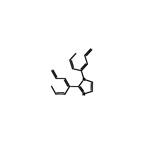 C=C/C=C(\C=C/C)c1nccn1C(/C=C\C)=C/C=C